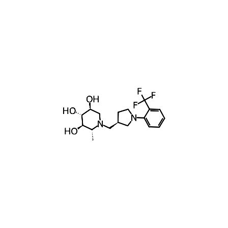 C[C@@H]1[C@@H](O)[C@H](O)[C@@H](O)CN1C[C@H]1CCN(c2ccccc2C(F)(F)F)C1